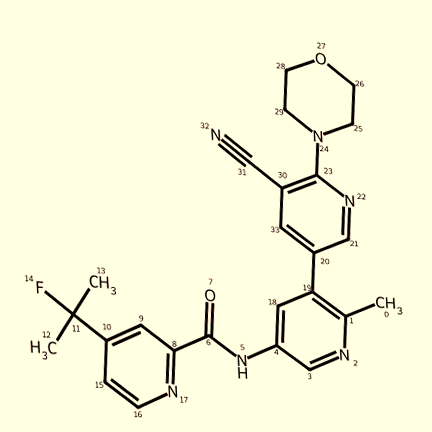 Cc1ncc(NC(=O)c2cc(C(C)(C)F)ccn2)cc1-c1cnc(N2CCOCC2)c(C#N)c1